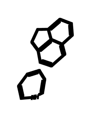 C1=CC=CNC=C1.c1cc2c3c(cccc3c1)CC2